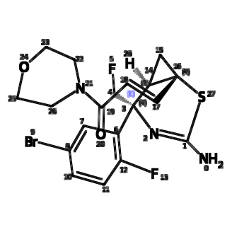 NC1=N[C@@](CF)(c2cc(Br)ccc2F)[C@H]2C[C@]2(/C=C/C(=O)N2CCOCC2)S1